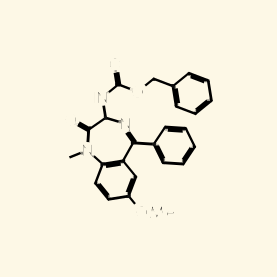 COc1ccc2c(c1)C(c1ccccc1)=NC(NC(=O)OCc1ccccc1)C(=O)N2C